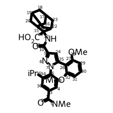 CNC(=O)c1ccc(-n2nc(C(=O)NC3(C(=O)O)C4CC5CC(C4)CC3C5)cc2-c2c(OC)cccc2OC)c(C(C)C)c1